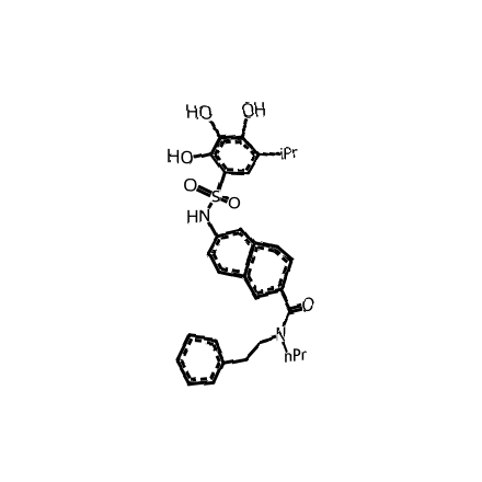 CCCN(CCc1ccccc1)C(=O)c1ccc2cc(NS(=O)(=O)c3cc(C(C)C)c(O)c(O)c3O)ccc2c1